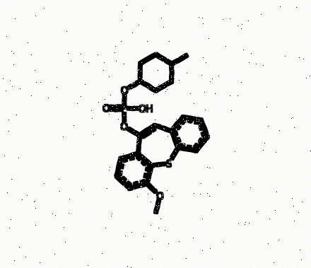 COc1cccc2c1Sc1ccccc1C=C2OP(=O)(O)OC1CCC(C)CC1